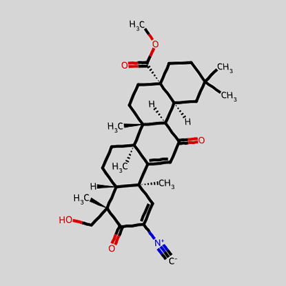 [C-]#[N+]C1=C[C@]2(C)C3=CC(=O)[C@@H]4[C@@H]5CC(C)(C)CC[C@]5(C(=O)OC)CC[C@@]4(C)[C@]3(C)CC[C@H]2[C@@](C)(CO)C1=O